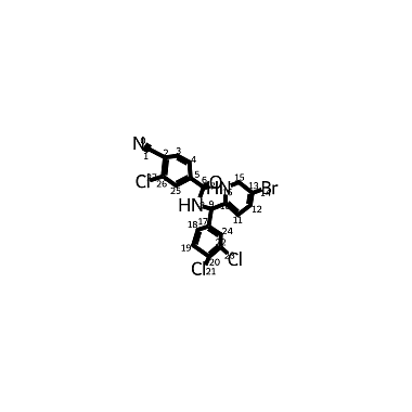 N#Cc1ccc(C(=O)NC(C2=CC=C(Br)CN2)c2ccc(Cl)c(Cl)c2)cc1Cl